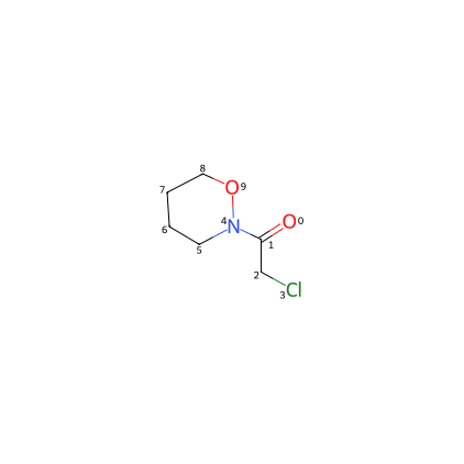 O=C(CCl)N1CCCCO1